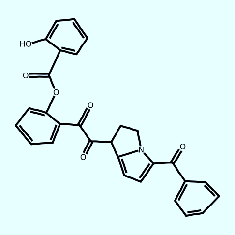 O=C(Oc1ccccc1C(=O)C(=O)C1CCn2c(C(=O)c3ccccc3)ccc21)c1ccccc1O